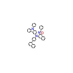 c1ccc(-c2nc3c(N(c4ccc(-c5cccc6ccccc56)cc4)c4ccc5c(c4)c4ccccc4n5-c4ccccc4)cc4ccccc4c3o2)cc1